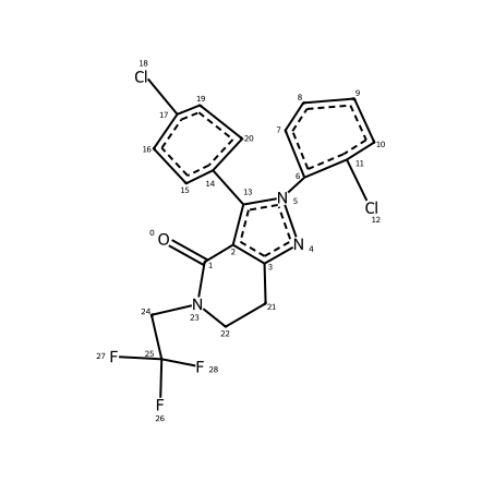 O=C1c2c(nn(-c3ccccc3Cl)c2-c2ccc(Cl)cc2)CCN1CC(F)(F)F